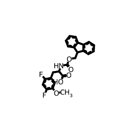 COc1cc(CC(NC(=O)OCC2c3ccccc3-c3ccccc32)C(=O)O)c(F)cc1F